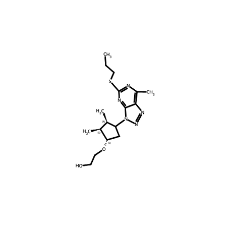 CCCSc1nc(C)c2nnn(C3C[C@H](OCCO)[C@@H](C)[C@H]3C)c2n1